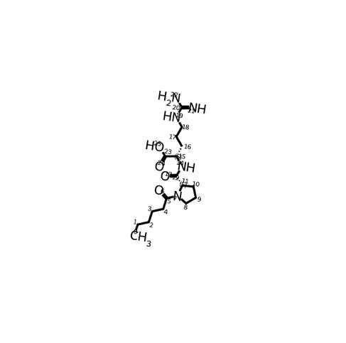 CCCCCC(=O)N1CCC[C@H]1C(=O)N[C@@H](CCCNC(=N)N)C(=O)O